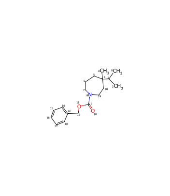 CC(C)C1(C)CCCN(C(=O)OCc2ccccc2)CC1